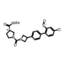 CNC(=O)[C@@H]1CCN(C(=O)N2CC(c3ccc(-c4ccc(Cl)cc4[S+]=O)cc3)C2)C1